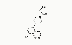 CC(C)(C)OC(=O)N1CCN(c2ccc(Br)c3nnccc23)CC1